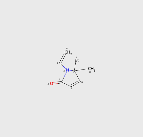 C=CN1C(=O)C=CC1(C)CC